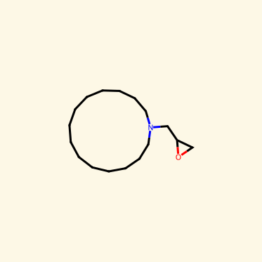 C1CCCCCCCN(CC2CO2)CCCCCC1